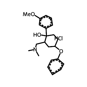 COc1cccc(C2(O)CCC(Oc3ccccc3)CC2CN(C)C)c1.Cl